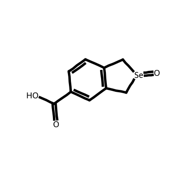 O=C(O)c1ccc2c(c1)C[Se](=O)C2